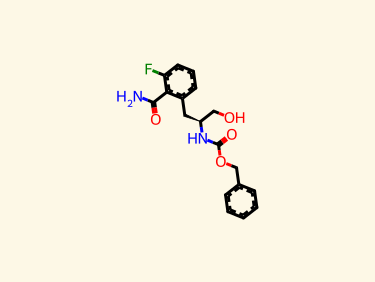 NC(=O)c1c(F)cccc1C[C@@H](CO)NC(=O)OCc1ccccc1